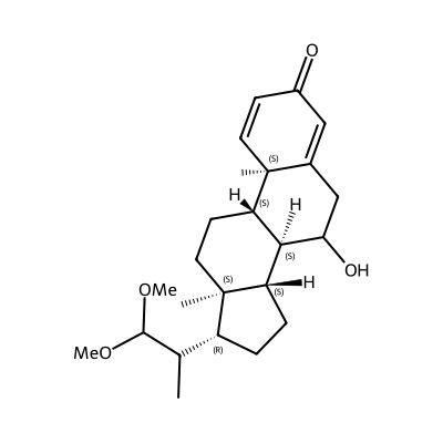 COC(OC)C(C)[C@H]1CC[C@H]2[C@@H]3C(O)CC4=CC(=O)C=C[C@]4(C)[C@H]3CC[C@]12C